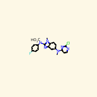 CN(c1ccc2c(c1)nc(N(C(=O)O)c1ccc(F)cc1)n2C)c1ccnc(Cl)n1